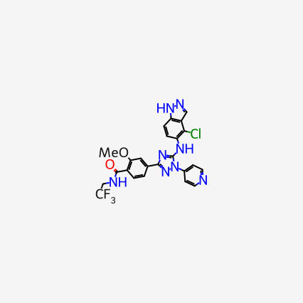 COc1cc(-c2nc(Nc3ccc4[nH]ncc4c3Cl)n(-c3ccncc3)n2)ccc1C(=O)NCC(F)(F)F